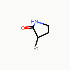 CCC1CCNC1=O